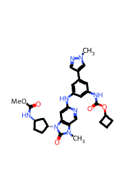 COC(=O)N[C@@H]1CC[C@@H](n2c(=O)n(C)c3cnc(Nc4cc(NC(=O)OC5CCC5)cc(-c5cnn(C)c5)c4)cc32)C1